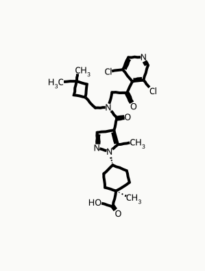 Cc1c(C(=O)N(CC(=O)c2c(Cl)cncc2Cl)CC2CC(C)(C)C2)cnn1[C@H]1CC[C@](C)(C(=O)O)CC1